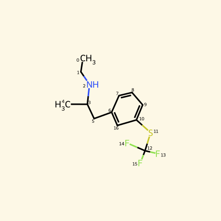 CCNC(C)Cc1cccc(SC(F)(F)F)c1